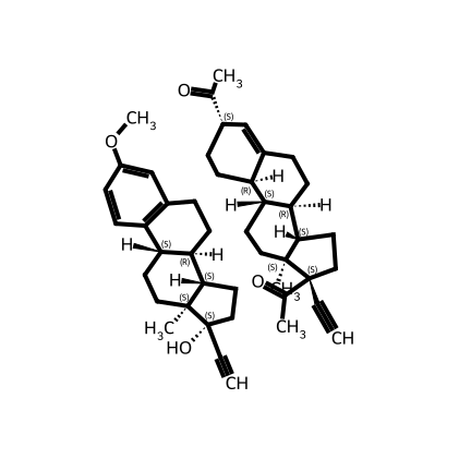 C#C[C@]1(C(C)=O)CC[C@H]2[C@@H]3CCC4=C[C@@H](C(C)=O)CC[C@@H]4[C@H]3CC[C@@]21C.C#C[C@]1(O)CC[C@H]2[C@@H]3CCc4cc(OC)ccc4[C@H]3CC[C@@]21C